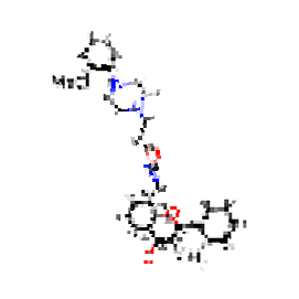 COc1ccccc1N1CCN(CCON=Cc2cccc3c(=O)c(C)c(-c4ccccc4)oc23)CC1